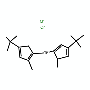 CC1=[C]([Ti+2][C]2=CC(C(C)(C)C)=CC2C)CC(C(C)(C)C)=C1.[Cl-].[Cl-]